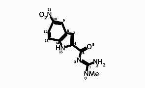 CNC(N)=NC(=O)c1cc2cc([N+](=O)[O-])ccc2[nH]1